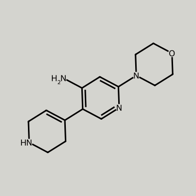 Nc1cc(N2CCOCC2)ncc1C1=CCNCC1